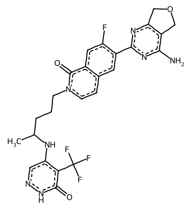 CC(CCCn1ccc2cc(-c3nc(N)c4c(n3)COC4)c(F)cc2c1=O)Nc1cn[nH]c(=O)c1C(F)(F)F